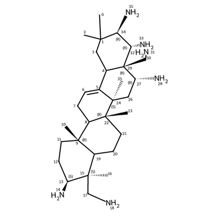 CC1(C)CC2C3=CCC4[C@@]5(C)CC[C@H](N)[C@](C)(CN)C5CC[C@@]4(C)[C@]3(C)C[C@@H](N)[C@@]2(CN)[C@@H](N)[C@@H]1N